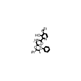 CCOc1ccnc(C(=O)N[C@@H](C)C(=O)O[C@H](C(C)C)[C@H](C)Oc2ccccc2)c1O